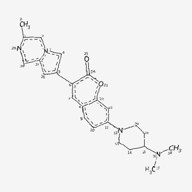 Cc1cn2cc(-c3cc4ccc(N5CCC(N(C)C)CC5)cc4oc3=O)cc2cn1